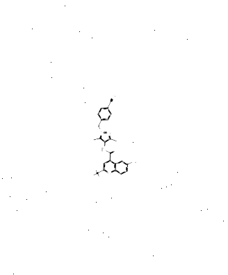 Cc1nn(Cc2ccc(C#N)cc2)c(C)c1NC(=O)c1cc(C(F)(F)F)nc2ccc(Br)cc12